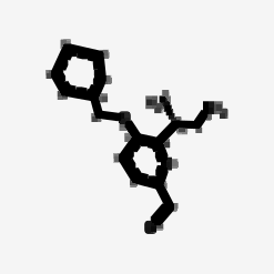 NC[C@@H](N)c1nc(C=O)ccc1OCc1ccccc1